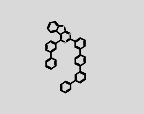 c1ccc(-c2cccc(-c3ccc(-c4cccc(-c5nc(-c6cccc(-c7ccccc7)c6)c6c(n5)sc5ccccc56)c4)cc3)c2)cc1